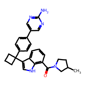 CC1CCN(C(=O)c2cccc3c(C4(c5ccc(-c6cnc(N)nc6)cc5)CCC4)c[nH]c23)C1